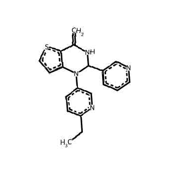 C=C1NC(c2cccnc2)N(c2ccc(CC)nc2)c2ccsc21